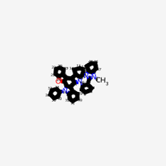 Cn1c(-c2ccccc2-n2c3ccccc3c3c4c5ccccc5oc4c4c(c5ccccc5n4-c4ccccc4)c32)nc2ccccc21